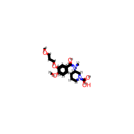 COCCCOc1cc(C(=O)N(C)[C@@H]2CCCN(C(=O)O)C2)ccc1OC